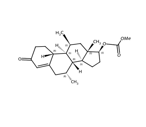 COC(=O)O[C@H]1CC[C@H]2[C@H]3[C@H]([C@@H](C)C[C@]12C)[C@H]1CCC(=O)C=C1C[C@H]3C